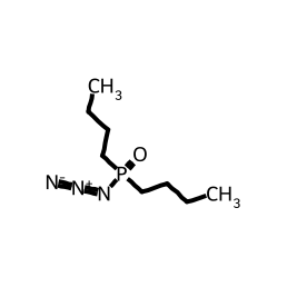 CCCCP(=O)(CCCC)N=[N+]=[N-]